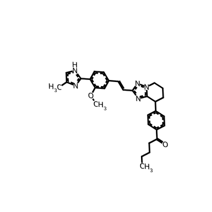 CCCCC(=O)c1ccc(C2CCCn3nc(/C=C/c4ccc(-c5nc(C)c[nH]5)c(OC)c4)nc32)cc1